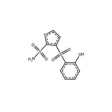 NS(=O)(=O)c1sccc1S(=O)(=O)c1ccccc1O